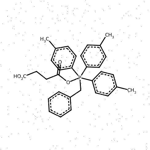 Cc1ccc(P(Cc2ccccc2)(OC(=O)CCC(=O)O)(c2ccc(C)cc2)c2ccc(C)cc2)cc1